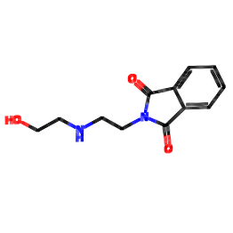 O=C1c2ccccc2C(=O)N1CCNCCO